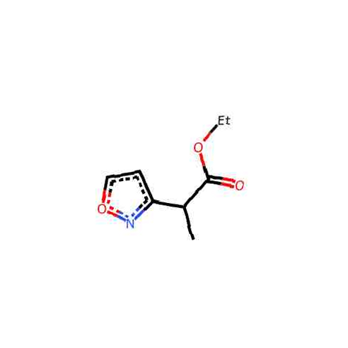 CCOC(=O)C(C)c1ccon1